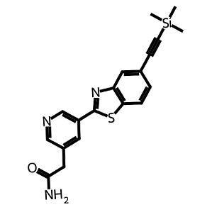 C[Si](C)(C)C#Cc1ccc2sc(-c3cncc(CC(N)=O)c3)nc2c1